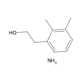 Cc1cccc(CCO)c1C.N